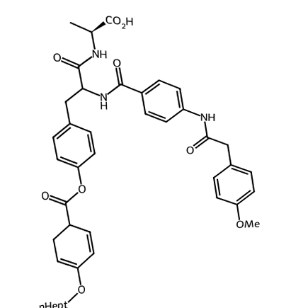 CCCCCCCOC1=CCC(C(=O)Oc2ccc(CC(NC(=O)c3ccc(NC(=O)Cc4ccc(OC)cc4)cc3)C(=O)N[C@@H](C)C(=O)O)cc2)C=C1